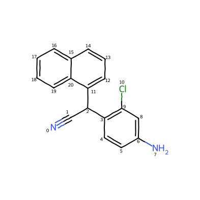 N#CC(c1ccc(N)cc1Cl)c1cccc2ccccc12